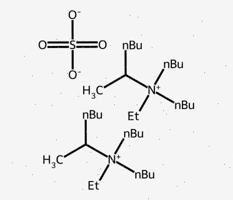 CCCCC(C)[N+](CC)(CCCC)CCCC.CCCCC(C)[N+](CC)(CCCC)CCCC.O=S(=O)([O-])[O-]